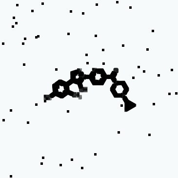 Cc1cc(C#N)ccc1-c1cnn(-c2ccc(C(=O)N3CCN(C4CC4)CC3)cn2)c1O